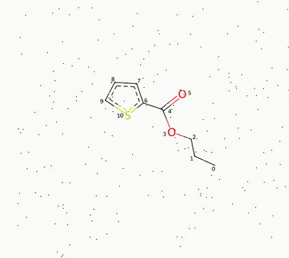 CCCOC(=O)c1c[c]cs1